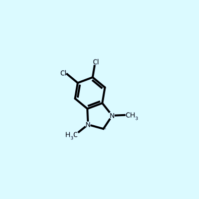 CN1[CH]N(C)c2cc(Cl)c(Cl)cc21